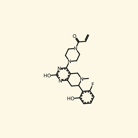 C=CC(=O)N1CCN(c2nc(O)nc3c2CN(C)C(c2c(O)cccc2F)C3)CC1